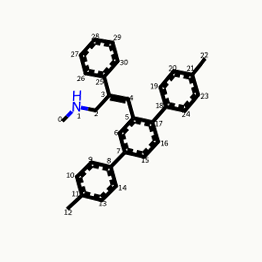 CNC/C(=C\c1cc(-c2ccc(C)cc2)ccc1-c1ccc(C)cc1)c1ccccc1